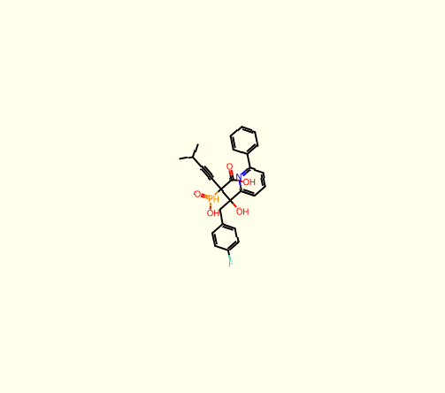 CC(C)C#CC(C(=O)O)([PH](=O)O)C(O)(Cc1ccc(F)cc1)c1cccc(-c2ccccc2)n1